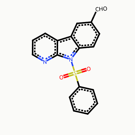 O=Cc1ccc2c(c1)c1cccnc1n2S(=O)(=O)c1ccccc1